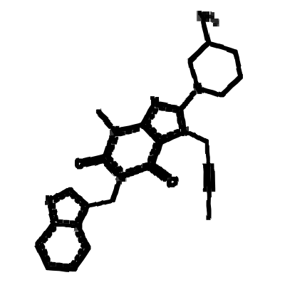 CC#CCn1c(N2CCCC(N)C2)nc2c1c(=O)n(Cc1cnc3ccccn13)c(=O)n2C